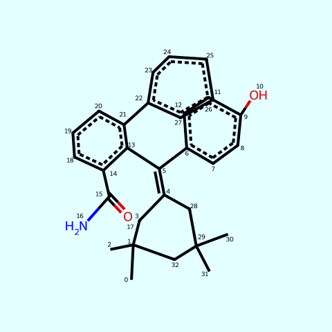 CC1(C)CC(=C(c2ccc(O)cc2)c2c(C(N)=O)cccc2-c2ccccc2)CC(C)(C)C1